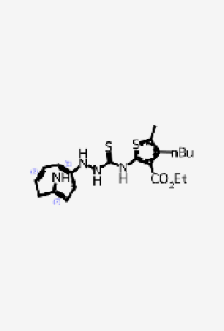 CCCCc1c(C)sc(NC(=S)NN/C2=C/C=C\C/C(N)=C/C2)c1C(=O)OCC